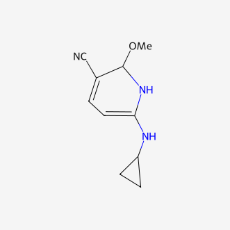 COC1NC(NC2CC2)=CC=C1C#N